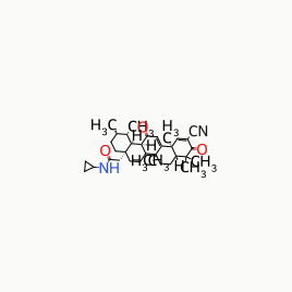 C[C@@H]1[C@H]2[C@H]3C(=O)C=C4[C@@]5(C)C=C(C#N)C(=O)C(C)(C)[C@@H]5CC[C@@]4(C)[C@]3(C)CC[C@@]2(CC(=O)NC2CC2)CC[C@H]1C